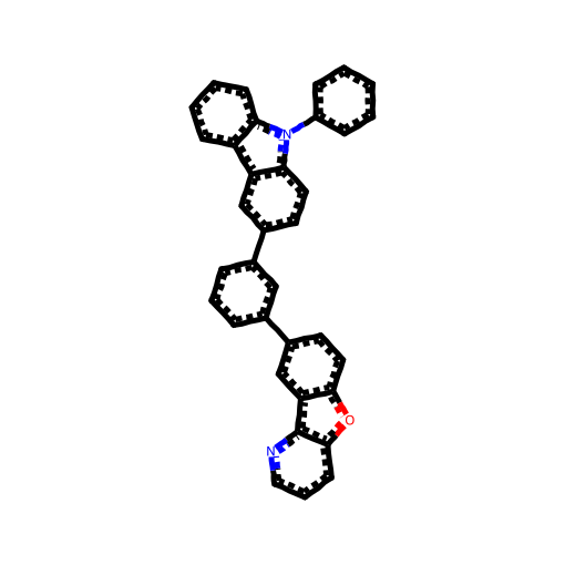 c1ccc(-n2c3ccccc3c3cc(-c4cccc(-c5ccc6oc7cccnc7c6c5)c4)ccc32)cc1